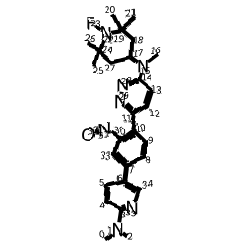 CN(C)c1ccc(-c2ccc(-c3ccc(N(C)C4CC(C)(C)N(F)C(C)(C)C4)nn3)c(N=O)c2)cn1